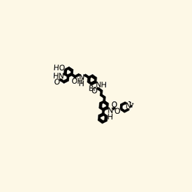 C[N+]1(C)CCC(OC(=O)Nc2cc(CCCC(=O)Nc3ccc(CNC[C@@H](O)c4ccc(O)c5[nH]c(=O)ccc45)cc3Br)ccc2-c2ccccc2)CC1